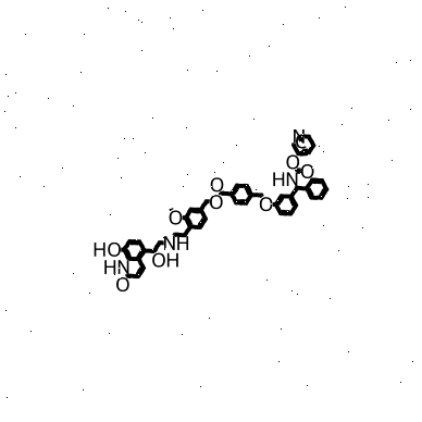 COc1cc(COC(=O)c2ccc(COc3cccc([C@@H](NC(=O)OC4CN5CCC4CC5)c4ccccc4)c3)cc2)ccc1CCNCC(O)c1ccc(O)c2[nH]c(=O)ccc12